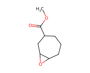 COC(=O)C1CCCC2OC2C1